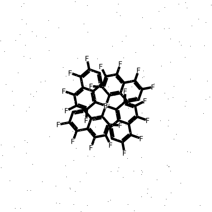 Fc1ccc2c([B-](c3c(F)c(F)c(F)c4c(F)c(F)ccc34)(c3c(F)c(F)c(F)c4c(F)c(F)ccc34)c3c(F)c(F)c(F)c4c(F)c(F)ccc34)c(F)c(F)c(F)c2c1F